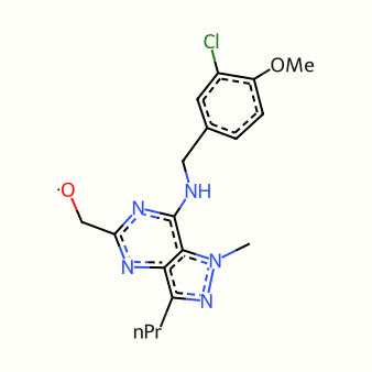 CCCc1nn(C)c2c(NCc3ccc(OC)c(Cl)c3)nc(C[O])nc12